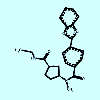 CCNC(=O)[C@@H]1CC[C@H](N(C)C(=O)c2ccc(-c3nc4ccccc4o3)cc2)C1